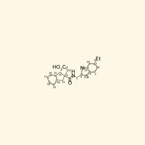 CCc1ccc2sc(CNC(=O)C3(CC(=O)O)Cc4ccccc4C3)nc2c1